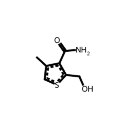 Cc1csc(CO)c1C(N)=O